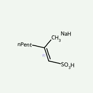 CCCCC/C(C)=C/S(=O)(=O)O.[NaH]